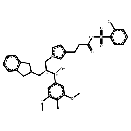 COc1cc([C@@H](O)[C@@H](CC2Cc3ccccc3C2)Cn2ccc(CCC(=O)NS(=O)(=O)c3ccccc3Cl)c2)cc(OC)c1C